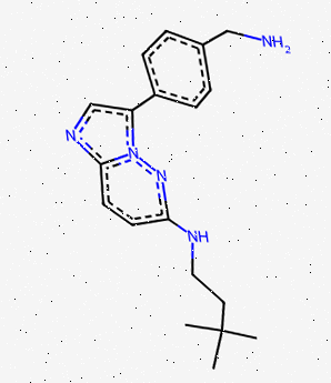 CC(C)(C)CCNc1ccc2ncc(-c3ccc(CN)cc3)n2n1